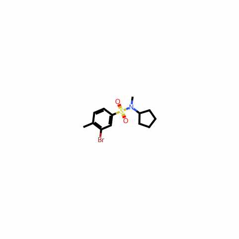 Cc1ccc(S(=O)(=O)N(C)C2CCCC2)cc1Br